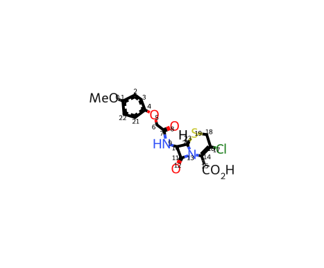 COc1ccc(OCC(=O)NC2C(=O)N3C(C(=O)O)=C(Cl)CS[C@H]23)cc1